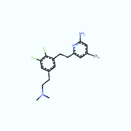 CN(C)CCc1cc(F)c(F)c(CCc2cc(C(F)(F)F)cc(N)n2)c1